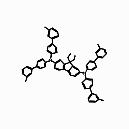 CCC1(CC)c2cc(N(c3ccc(-c4cccc(C)c4)cc3)c3ccc(-c4cccc(C)c4)cc3)ccc2-c2ccc(N(c3ccc(-c4cccc(C)c4)cc3)c3ccc(-c4cccc(C)c4)cc3)cc21